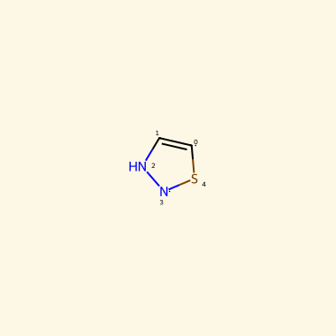 [C]1=CN[N]S1